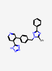 CCCc1nc(-c2ccccc2)nn1Cc1ccc(-c2cnccc2-c2nnn[nH]2)cc1